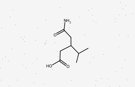 CC(C)C(CC(N)=O)CC(=O)O